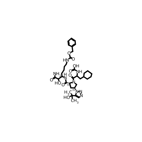 CC(C)(O)c1cnnn1[C@H]1C[C@@H](C(=O)NC(CCCCNC(=O)OCc2ccccc2)C(O)C(N)=O)N(C(=O)C(CC2CCCCC2)NC(=O)O)C1